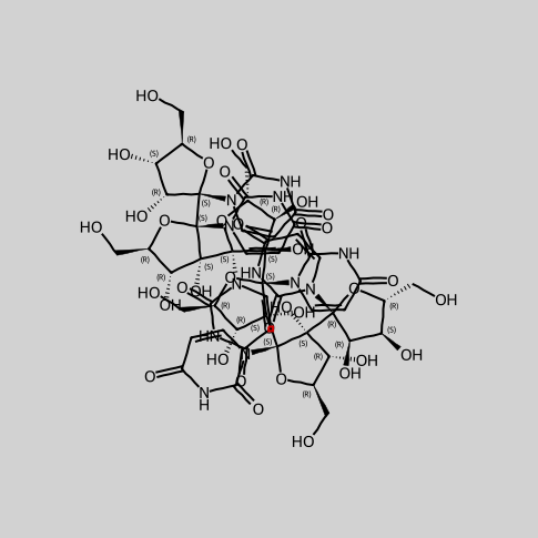 O=c1ccn([C@]2([C@@]3(O)[C@H](O)[C@@H](CO)O[C@]3(n3ccc(=O)[nH]c3=O)[C@@]3(O)[C@H](O)[C@@H](CO)O[C@]3(n3ccc(=O)[nH]c3=O)[C@@]3(n4ccc(=O)[nH]c4=O)O[C@H](CO)[C@@H](O)[C@H]3O)O[C@H](CO)[C@@H](O)[C@]2(O)[C@@]2(n3ccc(=O)[nH]c3=O)O[C@H](CO)[C@@H](O)[C@]2(O)[C@]2(n3ccc(=O)[nH]c3=O)O[C@H](CO)[C@@H](O)[C@H]2O)c(=O)[nH]1